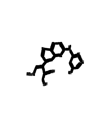 CN/C=C(\C(=N)CO)c1cnc2ccc(Nc3cc(C(C)C)cnn3)nc2c1